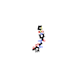 CC(C)C[C@H](NC(=O)CNC(=O)C1CCN(S(=O)(=O)C2CC=CS2)CC1)C(=O)[C@@]1(C)CO1